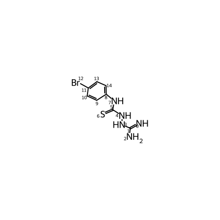 N=C(N)NNC(=S)Nc1ccc(Br)cc1